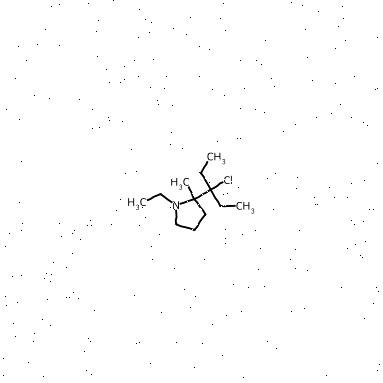 CCN1CCCC1(C)C(Cl)(CC)CC